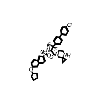 O=C([C@H](NS(=O)(=O)c1ccc2cc(OC3CCCC3)ccc2c1)C(F)(F)c1ccc(-c2ccc(Cl)cc2)cc1)N1CCNC2(CC2)C1